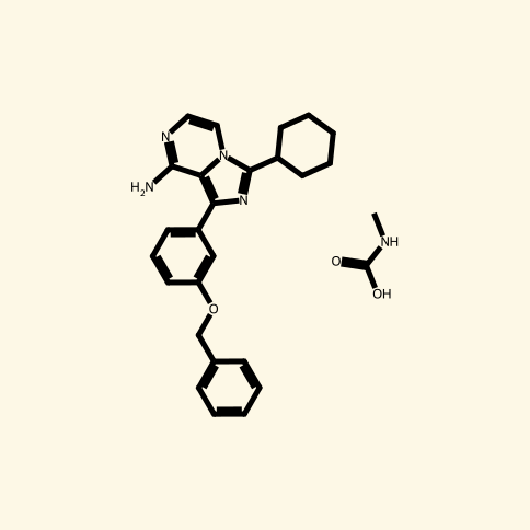 CNC(=O)O.Nc1nccn2c(C3CCCCC3)nc(-c3cccc(OCc4ccccc4)c3)c12